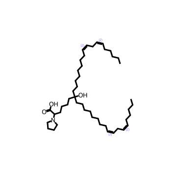 CCCCC/C=C\C/C=C\CCCCCCCCC(O)(CCCCCCCC/C=C\C/C=C\CCCCC)CCCCC(C(=O)O)N1CCCC1